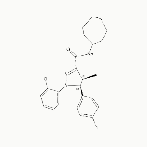 C[C@@H]1C(C(=O)NC2CCCCCC2)=NN(c2ccccc2Cl)[C@@H]1c1ccc(I)cc1